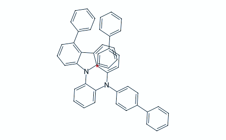 c1ccc(-c2ccc(N(c3ccc(-c4ccccc4)cc3)c3ccccc3-n3c4ccccc4c4c(-c5ccccc5)cccc43)cc2)cc1